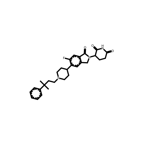 CC(C)(CCN1CCC(c2cc3c(cc2F)C(=O)N(C2CCC(=O)NC2=O)C3)CC1)c1ccccc1